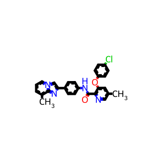 Cc1cnc(C(=O)Nc2ccc(-c3cn4cccc(C)c4n3)cc2)c(Oc2ccc(Cl)cc2)c1